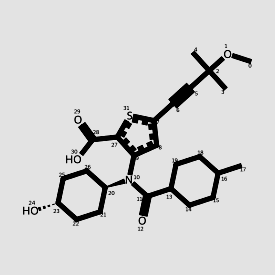 COC(C)(C)C#Cc1cc(N(C(=O)C2CCC(C)CC2)[C@H]2CC[C@H](O)CC2)c(C(=O)O)s1